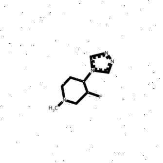 CN1CCC(n2cnnc2)C(F)C1